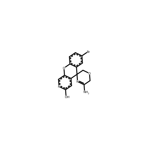 NC1=NC2(COC1)c1cc(Br)ccc1Oc1cnc(O)cc12